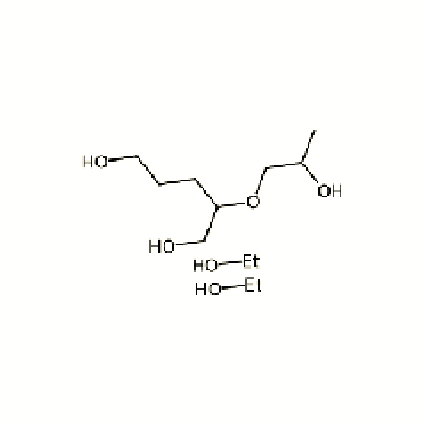 CC(O)COC(CO)CCCO.CCO.CCO